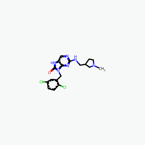 CN1CCC(CNc2ncc3[nH]c(=O)n(Cc4cc(Cl)ccc4Cl)c3n2)C1